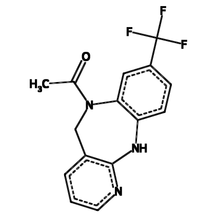 CC(=O)N1Cc2cccnc2Nc2ccc(C(F)(F)F)cc21